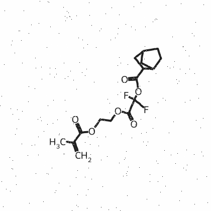 C=C(C)C(=O)OCCOC(=O)C(F)(F)OC(=O)C1CC2CCC1C2